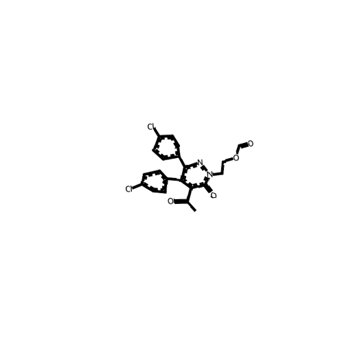 CC(=O)c1c(-c2ccc(Cl)cc2)c(-c2ccc(Cl)cc2)nn(CCOC=O)c1=O